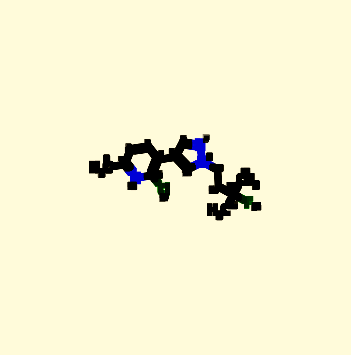 Cc1ccc(-c2cnn(CCC(C)(C)F)c2)c(Cl)n1